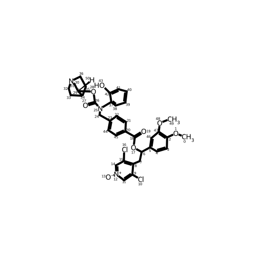 COc1ccc(C(Cc2c(Cl)c[n+]([O-])cc2Cl)OC(=O)c2ccc(CN(C(=O)O[C@H]3CN4CCC3CC4)c3ccccc3O)cc2)cc1OC